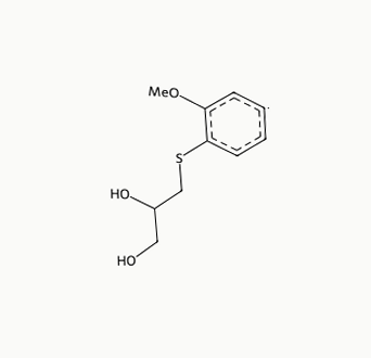 COc1c[c]ccc1SCC(O)CO